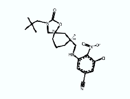 CC(C)(C)CN1C[C@@]2(CCC[C@](C)(CNc3cc(C#N)cc(Cl)c3[N+](=O)[O-])C2)OC1=O